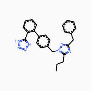 CCCc1nc(Cc2ccccc2)nn1Cc1ccc(-c2ccccc2-c2nnn[nH]2)cc1